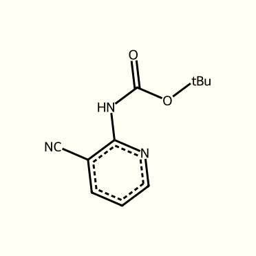 CC(C)(C)OC(=O)Nc1ncccc1C#N